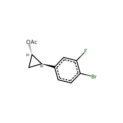 CC(=O)O[C@H]1C[C@@H]1c1ccc(Br)c(F)c1